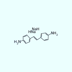 Nc1ccc(C=Cc2ccc(N)cc2)cc1.[NaH].[NaH]